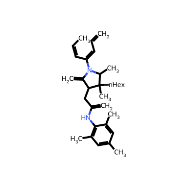 C=C/C=C(\C=C/C)N1C(=C)C(CC(=C)Nc2c(C)cc(C)cc2C)C(C)(CCCCCC)C1C